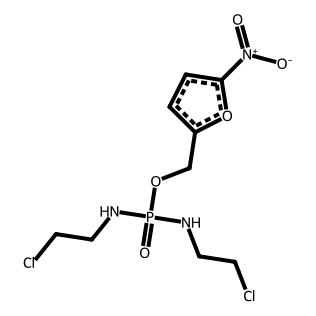 O=[N+]([O-])c1ccc(COP(=O)(NCCCl)NCCCl)o1